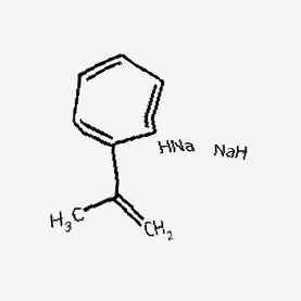 C=C(C)c1ccccc1.[NaH].[NaH]